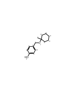 CC1(OCc2ccc(O)cc2)CCCCC1